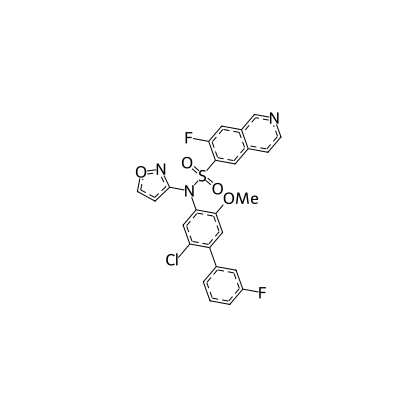 COc1cc(-c2cccc(F)c2)c(Cl)cc1N(c1ccon1)S(=O)(=O)c1cc2ccncc2cc1F